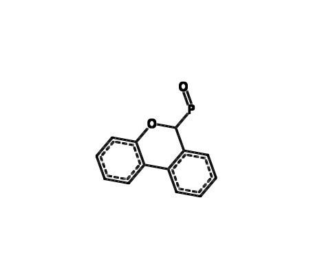 O=PC1Oc2ccccc2-c2ccccc21